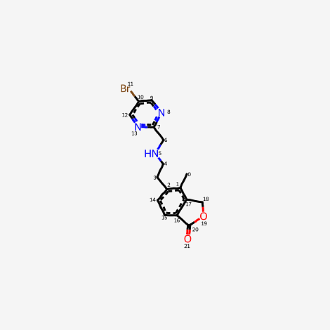 Cc1c(CCNCc2ncc(Br)cn2)ccc2c1COC2=O